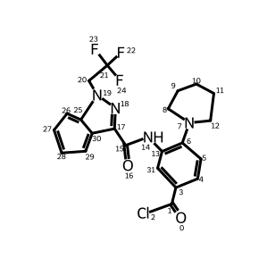 O=C(Cl)c1ccc(N2CCCCC2)c(NC(=O)c2nn(CC(F)(F)F)c3ccccc23)c1